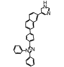 C1=NC=C(c2ccc3ccc(-c4ccc(C5=[N+](c6ccccc6)C(c6ccccc6)=N5)cc4)cc3c2)CN1